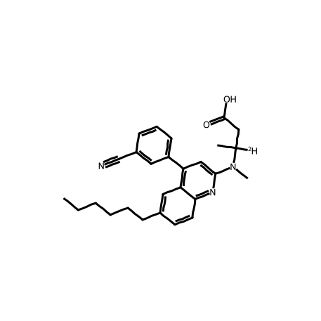 [2H]C(C)(CC(=O)O)N(C)c1cc(-c2cccc(C#N)c2)c2cc(CCCCCC)ccc2n1